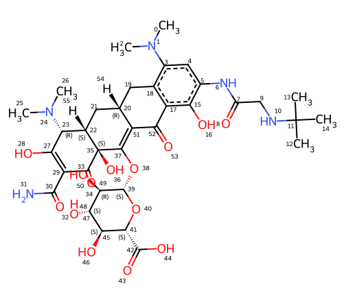 CN(C)c1cc(NC(=O)CNC(C)(C)C)c(O)c2c1C[C@H]1C[C@H]3[C@@H](N(C)C)C(O)=C(C(N)=O)C(=O)[C@@]3(O)C(O[C@@H]3O[C@H](C(=O)O)[C@@H](O)[C@H](O)[C@H]3O)=C1C2=O